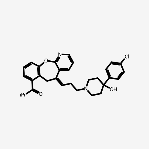 CC(C)C(=O)c1cccc2c1C/C(=C/CCN1CCC(O)(c3ccc(Cl)cc3)CC1)c1cccnc1O2